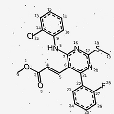 COC(=O)C=Cc1c(Nc2ccccc2Cl)nc(SC)nc1-c1ccccc1F